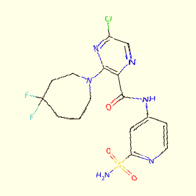 NS(=O)(=O)c1cc(NC(=O)c2ncc(Cl)nc2N2CCCC(F)(F)CC2)ccn1